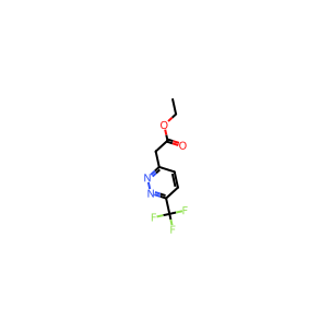 CCOC(=O)Cc1ccc(C(F)(F)F)nn1